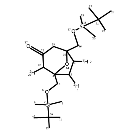 [2H]C1C([2H])C2(CO[Si](C)(C)C(C)(C)C)OC1(CO[Si](C)(C)C(C)(C)C)CC(=O)C2[2H]